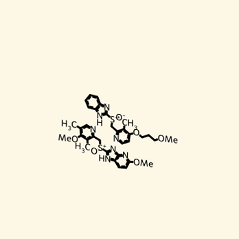 COCCCOc1ccnc(C[S+]([O-])c2nc3ccccc3[nH]2)c1C.COc1ccc2[nH]c([S+]([O-])Cc3ncc(C)c(OC)c3C)nc2n1